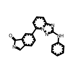 O=C1N=Cc2ccc(-c3cccc4nc(Nc5ccccc5)nn34)cc21